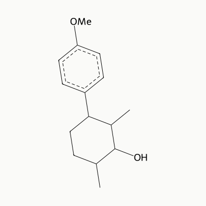 COc1ccc(C2CCC(C)C(O)C2C)cc1